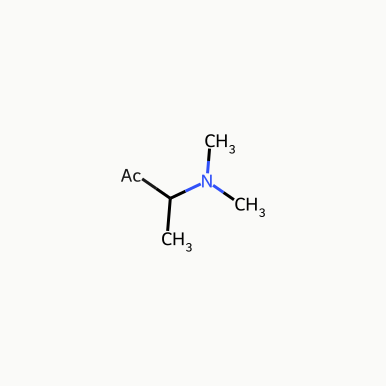 CC(=O)C(C)N(C)C